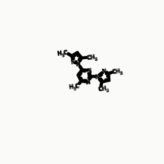 Cc1cc(-n2nc(C)cc2C)nc(-n2nc(C)cc2C)n1